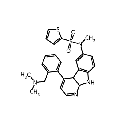 CN(C)Cc1ccccc1C1=CC=NC2Nc3ccc(N(C)S(=O)(=O)c4cccs4)cc3C12